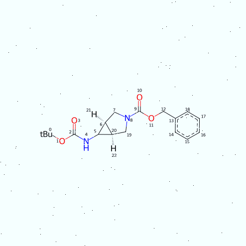 CC(C)(C)OC(=O)NC1[C@H]2CN(C(=O)OCc3ccccc3)C[C@@H]12